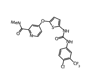 CNC(=O)c1cc(Oc2ccc(NC(=O)Nc3ccc(Cl)c(C(F)(F)F)c3)s2)ccn1